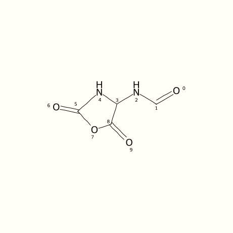 O=CNC1NC(=O)OC1=O